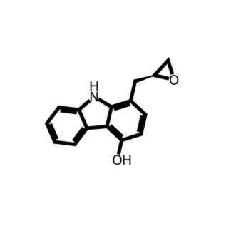 Oc1ccc(C[C@H]2CO2)c2[nH]c3ccccc3c12